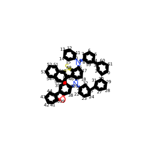 c1ccc(-c2cccc(N(c3ccccc3)c3ccc(N(c4cccc(-c5ccccc5)c4)c4ccc5c(c4)oc4ccccc45)c4c3sc3c5ccccc5ccc34)c2)cc1